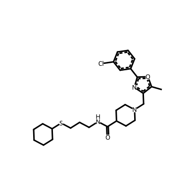 Cc1oc(-c2cccc(Cl)c2)nc1CN1CCC(C(=O)NCCCSC2CCCCC2)CC1